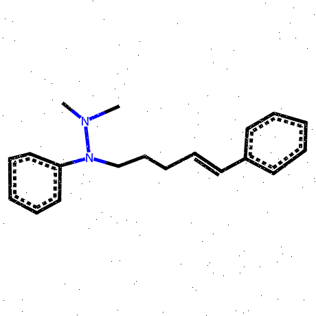 CN(C)N(CCCC=Cc1ccccc1)c1ccccc1